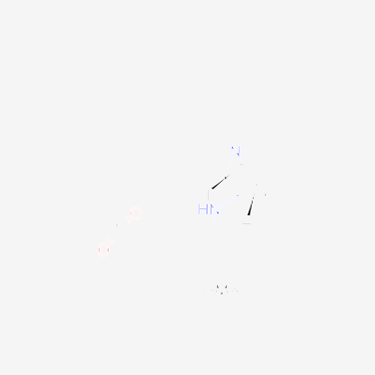 COc1ccc(S(C)(=O)=O)cc1CN[C@H]1C2CCN(CC2)[C@H]1C(c1ccccc1)c1ccccc1